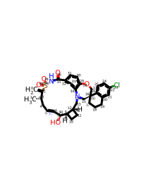 C=C1[C@@H](C)C/C=C/[C@H](O)[C@@H]2CC[C@H]2CN2C[C@@]3(CCCc4cc(Cl)ccc43)COc3ccc(cc32)C(=O)NS1(=O)=O